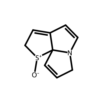 [O-][S+]1CC=C2C=CN3CC=CC231